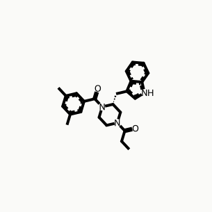 CCC(=O)N1CCN(C(=O)c2cc(C)cc(C)c2)[C@H](Cc2c[nH]c3ccccc23)C1